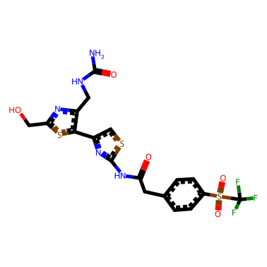 NC(=O)NCc1nc(CO)sc1-c1csc(NC(=O)Cc2ccc(S(=O)(=O)C(F)(F)F)cc2)n1